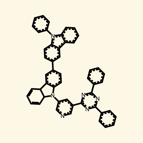 C1=CC2c3cc(-c4ccc5c(c4)c4ccccc4n5-c4ccccc4)ccc3N(c3cncc(-c4nc(-c5ccccc5)nc(-c5ccccc5)n4)c3)C2C=C1